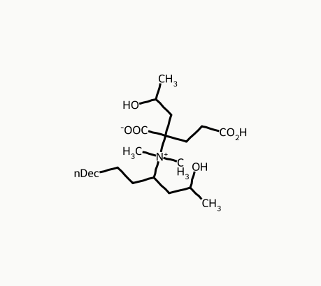 CCCCCCCCCCCCC(CC(C)O)[N+](C)(C)C(CCC(=O)O)(CC(C)O)C(=O)[O-]